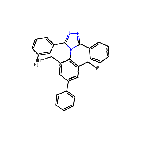 CCc1cccc(-c2nnc(-c3ccccc3)n2-c2c(CC(C)C)cc(-c3ccccc3)cc2CC(C)C)c1